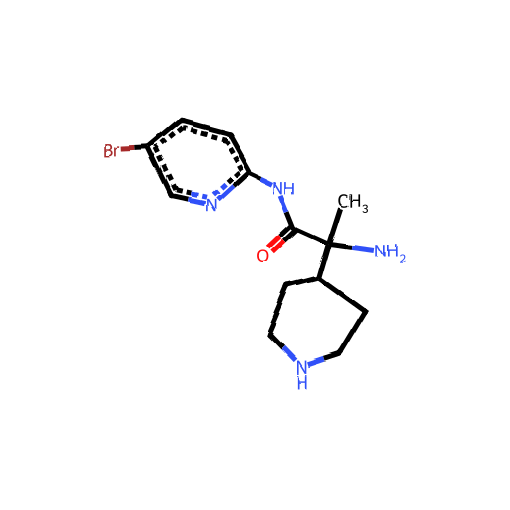 CC(N)(C(=O)Nc1ccc(Br)cn1)C1CCNCC1